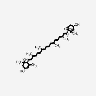 CC1=C[C@H](O)CC(C)(C)[C@H]1/C=C/C(C)=C/C=C/C(C)=C/C=C/C=C(C)/C=C/C=C(C)/C=C/[C@@]12O[C@]1(C)C[C@@H](O)CC2(C)C